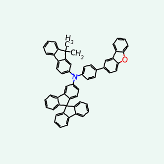 CC1(C)c2ccccc2-c2ccc(N(c3ccc(-c4ccc5oc6ccccc6c5c4)cc3)c3ccc4c(c3)-c3ccccc3C43c4ccccc4-c4ccccc43)cc21